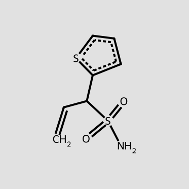 C=CC(c1cccs1)S(N)(=O)=O